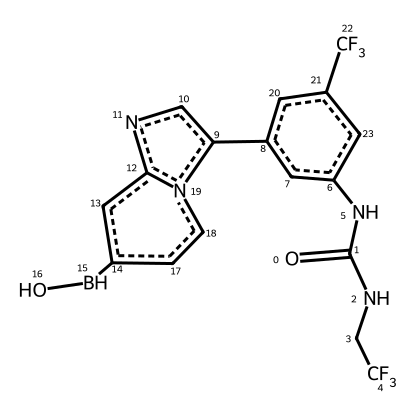 O=C(NCC(F)(F)F)Nc1cc(-c2cnc3cc(BO)ccn23)cc(C(F)(F)F)c1